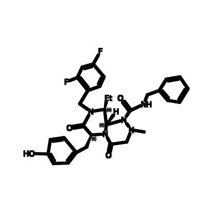 CC[C@H]1[C@H]2N(C(=O)CN(C)N2C(=O)NCc2ccccc2)[C@@H](Cc2ccc(O)cc2)C(=O)N1Cc1ccc(F)cc1F